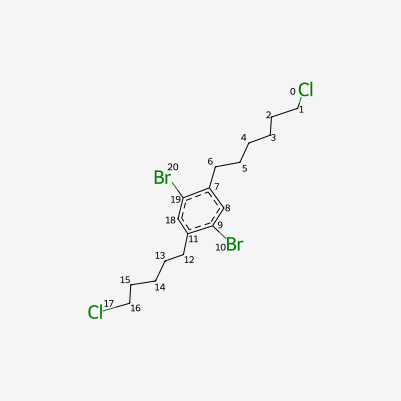 ClCCCCCCc1cc(Br)c(CCCCCCl)cc1Br